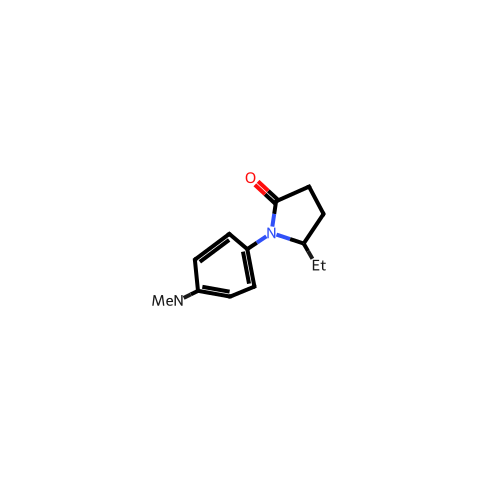 CCC1CCC(=O)N1c1ccc(NC)cc1